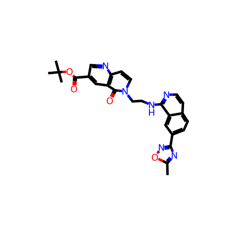 Cc1nc(-c2ccc3ccnc(NCCn4ccc5ncc(C(=O)OC(C)(C)C)cc5c4=O)c3c2)no1